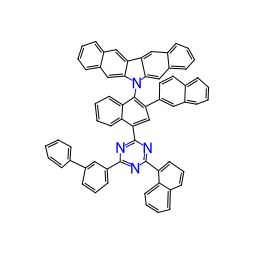 c1ccc(-c2cccc(-c3nc(-c4cccc5ccccc45)nc(-c4cc(-c5ccc6ccccc6c5)c(-n5c6cc7ccccc7cc6c6cc7ccccc7cc65)c5ccccc45)n3)c2)cc1